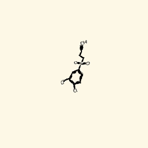 C#CCCS(=O)(=O)c1ccc(Cl)c(Cl)c1